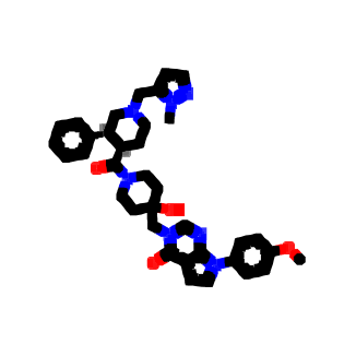 COc1ccc(-n2ccc3c(=O)n(CC4(O)CCN(C(=O)[C@@H]5CCN(Cc6ccnn6C)C[C@H]5c5ccccc5)CC4)cnc32)cc1